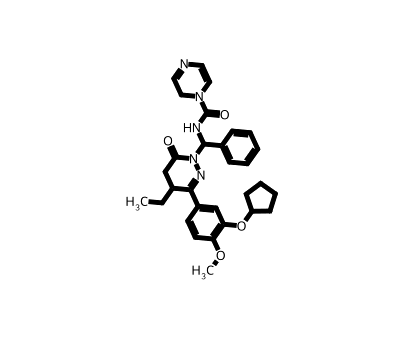 CCC1CC(=O)N(C(NC(=O)N2C=CN=CC2)c2ccccc2)N=C1c1ccc(OC)c(OC2CCCC2)c1